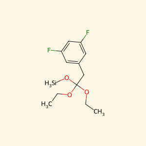 CCOC(Cc1cc(F)cc(F)c1)(O[SiH3])OCC